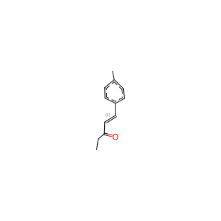 CCC(=O)/C=C/c1ccc(C)cc1